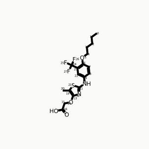 CCCCCOc1ccc(Nc2nc(OCC(=O)O)c(C)s2)cc1C(F)(F)F